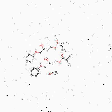 C=C(C)C(=O)OCCC(O)COc1ccccc1.C=C(C)C(=O)OCCC(O)COc1ccccc1.C=O